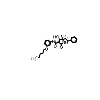 CCCCCOc1cccc(NC(=O)C2=C(O)C(C)(CCc3ccccc3)NC2=O)c1